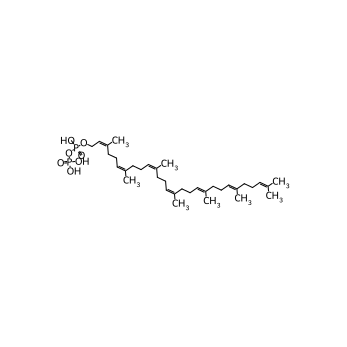 CC(C)=CCC/C(C)=C/CC/C(C)=C/CC/C(C)=C\CC/C(C)=C\CC/C(C)=C\CC/C(C)=C\COP(=O)(O)OP(=O)(O)O